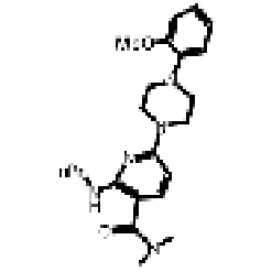 CCCNc1nc(N2CCN(c3ccccc3OC)CC2)ccc1C(=O)N(C)C